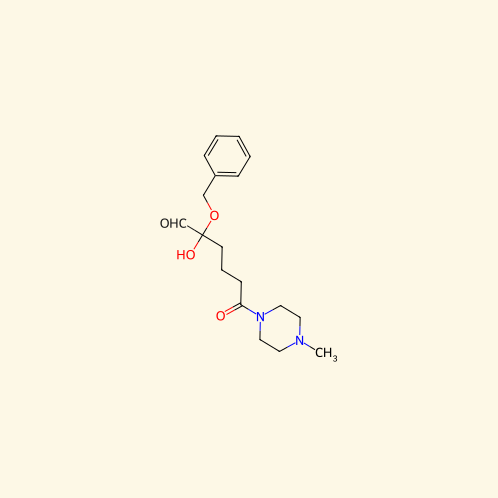 CN1CCN(C(=O)CCCC(O)(C=O)OCc2ccccc2)CC1